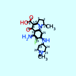 C[C@@H]1CCc2c(C(=O)O)c(=O)c3c(N)c(F)c(NC4CCN(C)CC4)cc3n21